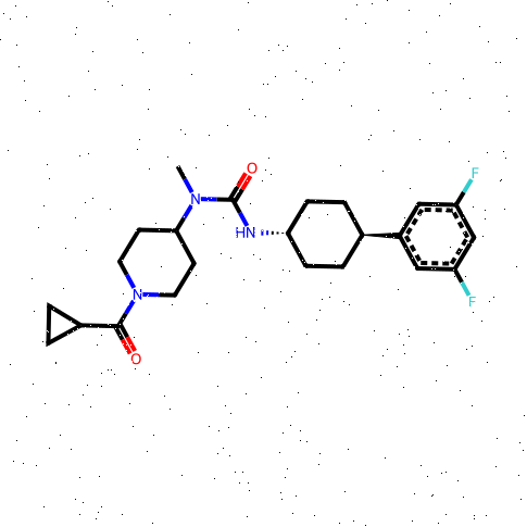 CN(C(=O)N[C@H]1CC[C@H](c2cc(F)cc(F)c2)CC1)C1CCN(C(=O)C2CC2)CC1